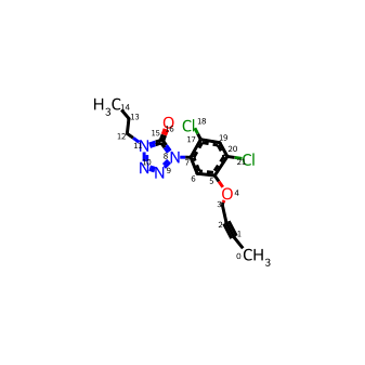 CC#CCOc1cc(-n2nnn(CCC)c2=O)c(Cl)cc1Cl